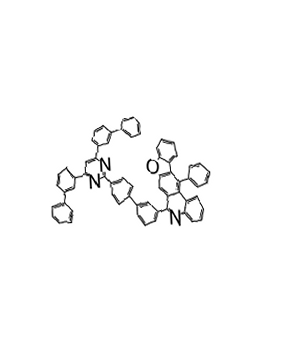 c1ccc(-c2cccc(-c3cc(-c4cccc(-c5ccccc5)c4)nc(-c4ccc(-c5cccc(-c6nc7ccccc7c7c(-c8ccccc8)c8c(cc67)oc6ccccc68)c5)cc4)n3)c2)cc1